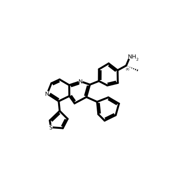 C[C@@H](N)c1ccc(-c2nc3ccnc(-c4ccsc4)c3cc2-c2ccccc2)cc1